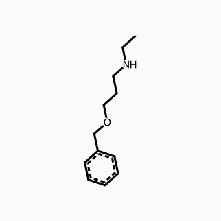 CCNCCCOCc1ccccc1